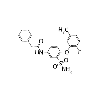 Cc1ccc(F)c(Oc2ccc(NC(=O)Cc3ccccc3)cc2S(N)(=O)=O)c1